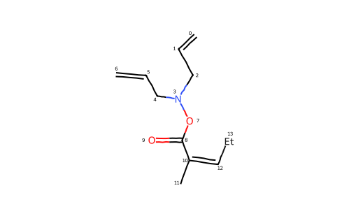 C=CCN(CC=C)OC(=O)C(C)=CCC